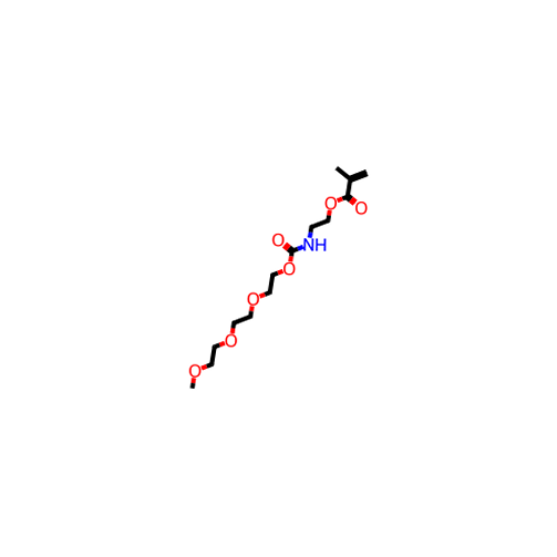 C=C(C)C(=O)OCCNC(=O)OCCOCCOCCOC